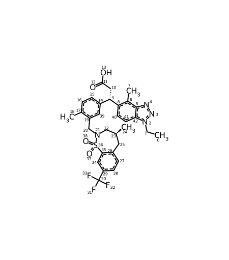 CCn1nnc2c(C)c([C@@H](CC(=O)O)c3ccc(C)c(CN4C[C@@H](C)Cc5ccc(C(F)(F)F)cc5S4(=O)=O)c3)ccc21